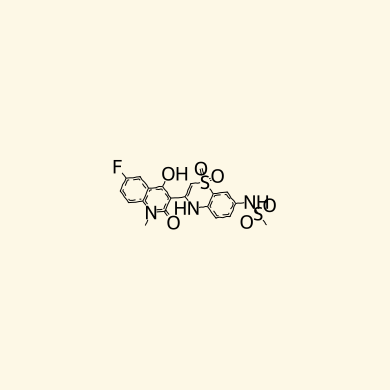 Cn1c(=O)c(C2=CS(=O)(=O)c3cc(NS(C)(=O)=O)ccc3N2)c(O)c2cc(F)ccc21